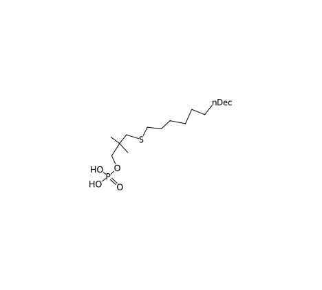 CCCCCCCCCCCCCCCCSCC(C)(C)COP(=O)(O)O